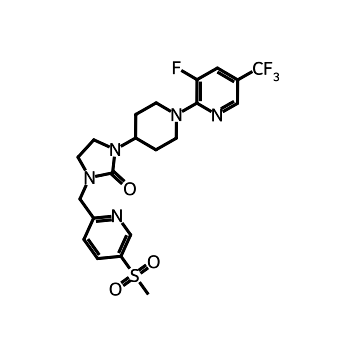 CS(=O)(=O)c1ccc(CN2CCN(C3CCN(c4ncc(C(F)(F)F)cc4F)CC3)C2=O)nc1